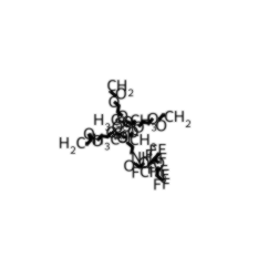 C=CC(=O)OCCO[Si]1(C)O[Si](C)(CCCNC(=O)C(C)(F)OCC(F)(OC(F)(F)CC(F)(F)F)C(F)(F)F)O[Si@@](C)(OCCOC(=O)C=C)O[Si](C)(OCCOC(=O)C=C)O1